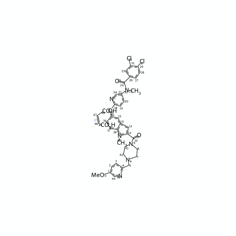 COc1ccc(CN2CCN(C(=O)c3cc4cc(Oc5ccc(N(C)C(=O)c6ccc(Cl)c(Cl)c6)cn5)ccc4n3C)CC2)nc1.O=C(O)/C=C\C(=O)O